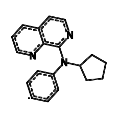 [c]1ccc(N(c2nccc3cccnc23)C2CCCC2)cc1